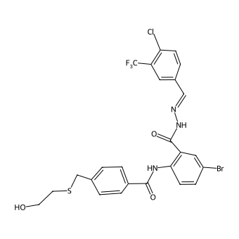 O=C(Nc1ccc(Br)cc1C(=O)NN=Cc1ccc(Cl)c(C(F)(F)F)c1)c1ccc(CSCCO)cc1